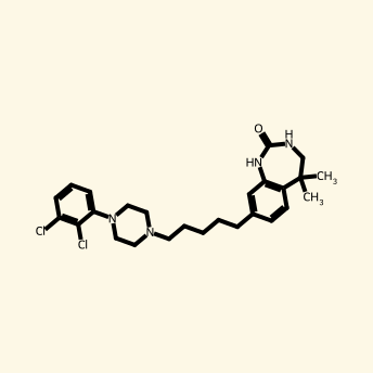 CC1(C)CNC(=O)Nc2cc(CCCCCN3CCN(c4cccc(Cl)c4Cl)CC3)ccc21